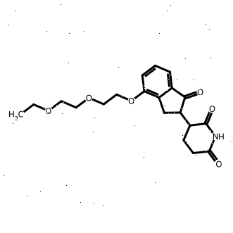 CCOCCOCCOc1cccc2c1CC(C1CCC(=O)NC1=O)C2=O